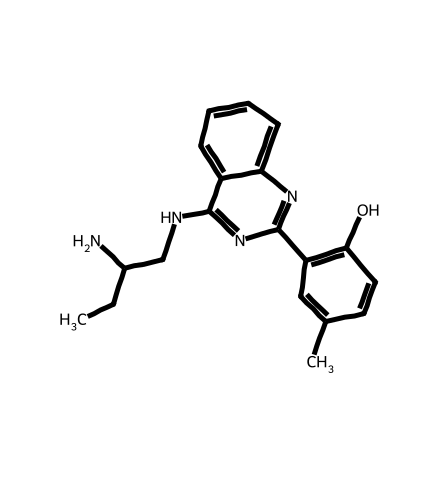 CCC(N)CNc1nc(-c2cc(C)ccc2O)nc2ccccc12